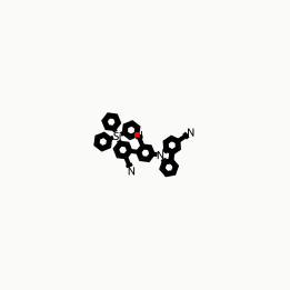 N#Cc1ccc2c(c1)c1ccccc1n2-c1ccc(-c2cc([Si](c3ccccc3)(c3ccccc3)c3ccccc3)ccc2C#N)c(C#N)c1